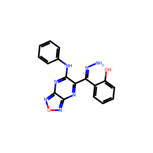 N/N=C(\c1ccccc1O)c1nc2nonc2nc1Nc1ccccc1